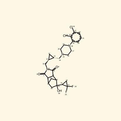 O=C1C2C3CC(C2C(=O)N1C[C@H]1C[C@@H]1CN1CCN(c2cccc(Cl)c2Cl)CC1)C(O)(C1CC1(F)F)C3